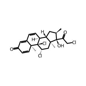 C[C@@H]1C[C@H]2[C@@H]3C=CC4=CC(=O)C=C[C@]4(C)[C@@]3(Cl)[C@@H](Cl)C[C@]2(C)[C@@]1(O)C(=O)CCl